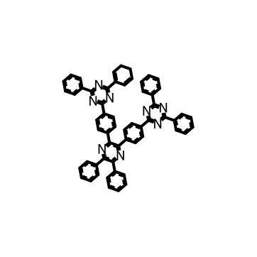 C1=CC(c2nc(-c3ccccc3)nc(-c3ccc(-c4nc(-c5ccccc5)c(-c5ccccc5)nc4-c4ccc(-c5nc(-c6ccccc6)nc(-c6ccccc6)n5)cc4)cc3)n2)=CCC1